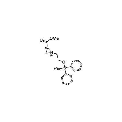 COC(=O)[C@H]1C[N@]1CCO[Si](c1ccccc1)(c1ccccc1)C(C)(C)C